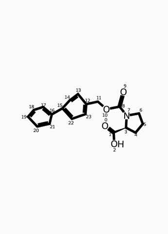 O=C(O)[C@@H]1CCCN1C(=O)OCc1ccc(-c2ccccc2)cc1